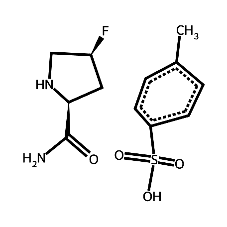 Cc1ccc(S(=O)(=O)O)cc1.NC(=O)[C@@H]1C[C@H](F)CN1